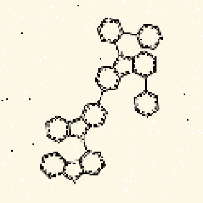 c1ccc(-c2ccccc2-n2c3ccc(-c4ccc5c(c4)c4ccccc4n5-c4cccc5sc6ccccc6c45)cc3c3c(-c4ccccc4)cccc32)cc1